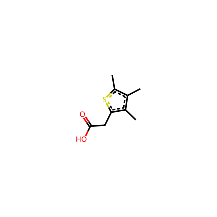 Cc1sc(CC(=O)O)c(C)c1C